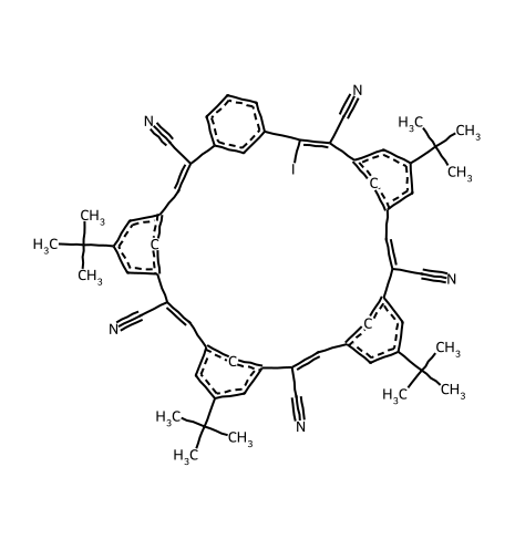 CC(C)(C)c1cc2cc(c1)/C(C#N)=C/c1cc(cc(C(C)(C)C)c1)/C(C#N)=C/c1cc(cc(C(C)(C)C)c1)/C(C#N)=C/c1cc(cc(C(C)(C)C)c1)/C(C#N)=C(\I)c1cccc(c1)/C(C#N)=C/2